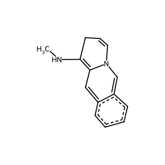 CNC1=C2C=c3ccccc3=CN2C=CC1